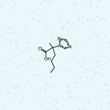 CCCCC(C)(C(=O)O)n1cncn1